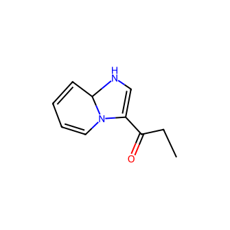 CCC(=O)C1=CNC2C=CC=CN12